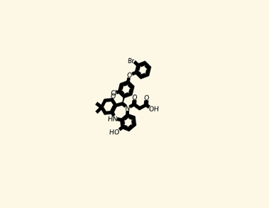 CC1(C)CC(=O)C2=C(C1)Nc1c(O)cccc1N(C(=O)CC(=O)O)[C@@H]2c1ccc(Oc2ccccc2Br)cc1Cl